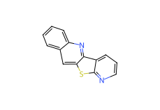 c1ccc2nc3c(cc2c1)sc1ncccc13